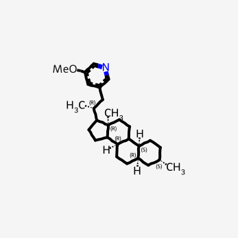 COc1cncc(C[C@@H](C)C2CCC3[C@@H]4CC[C@@H]5C[C@@H](C)CC[C@@H]5C4CC[C@@]32C)c1